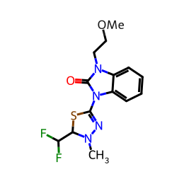 COCCn1c(=O)n(C2=NN(C)C(C(F)F)S2)c2ccccc21